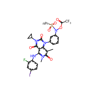 CCCS(=O)(=O)N(OC(=O)C(F)(F)F)c1cccc(-n2c(=O)n(C3CC3)c(=O)c3c(Nc4ccc(I)cc4F)n(C)c(=O)c(C)c32)c1